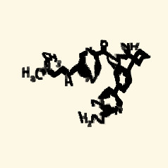 CN(C)CCNc1cnc(C(=O)NC(=N)C2(c3ccc(-c4cnc(N)nc4)cc3)CCC2)cn1